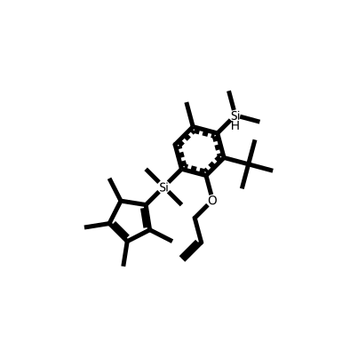 C=CCOc1c([Si](C)(C)C2=C(C)C(C)=C(C)C2C)cc(C)c([SiH](C)C)c1C(C)(C)C